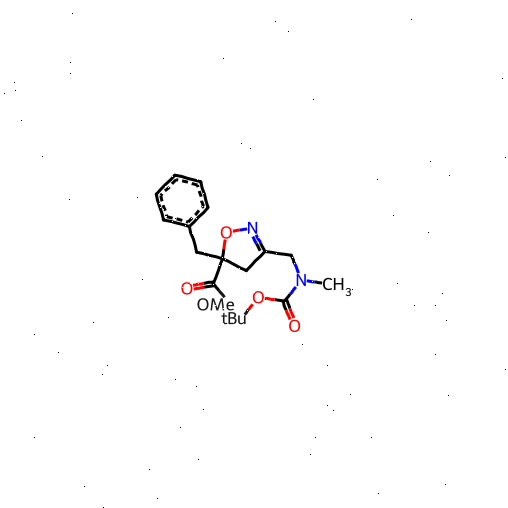 COC(=O)C1(Cc2ccccc2)CC(CN(C)C(=O)OC(C)(C)C)=NO1